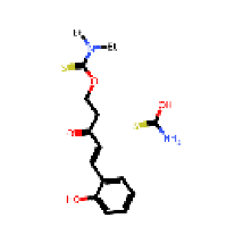 CCN(CC)C(=S)OCCC(=O)C=Cc1ccccc1O.NC(O)=S